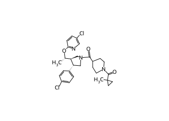 C[C@H](Oc1ccc(Cl)cn1)[C@H]1CN(C(=O)C2CCN(C(=O)C3(C)CC3)CC2)C[C@@H]1c1ccc(Cl)cc1